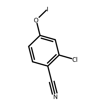 N#Cc1ccc(OI)cc1Cl